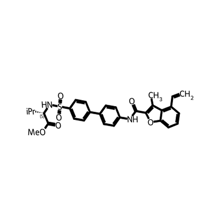 C=Cc1cccc2oc(C(=O)Nc3ccc(-c4ccc(S(=O)(=O)N[C@H](C(=O)OC)C(C)C)cc4)cc3)c(C)c12